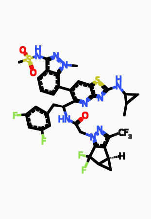 CC1CC1Nc1nc2nc([C@H](Cc3cc(F)cc(F)c3)NC(=O)Cn3nc(C(F)(F)F)c4c3C(F)(F)C3C[C@H]43)c(-c3cccc4c(NS(C)(=O)=O)nn(C)c34)cc2s1